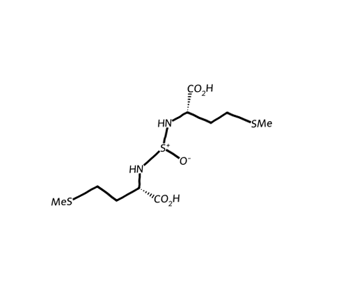 CSCC[C@H](N[S+]([O-])N[C@@H](CCSC)C(=O)O)C(=O)O